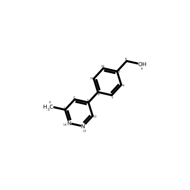 Cc1cc(-c2ccc(CO)cc2)cnn1